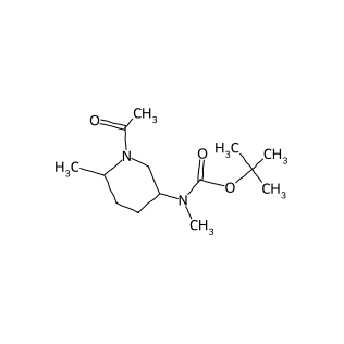 CC(=O)N1CC(N(C)C(=O)OC(C)(C)C)CCC1C